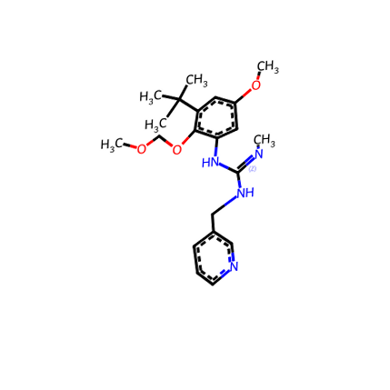 C/N=C(/NCc1cccnc1)Nc1cc(OC)cc(C(C)(C)C)c1OCOC